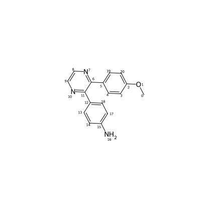 COc1ccc(-c2nccnc2-c2ccc(N)cc2)cc1